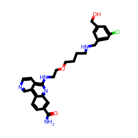 NC(=O)c1ccc2c(c1)nc(NCCOCCCCNCc1cc(Cl)cc(CO)c1)c1ccncc12